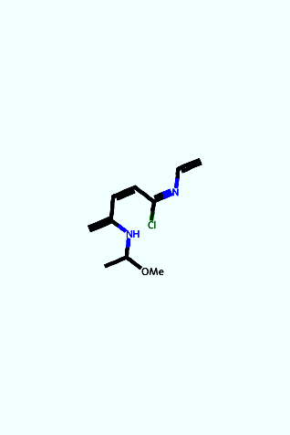 C=C/N=C(Cl)\C=C/C(=C)NC(C)OC